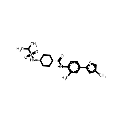 Cc1csc(-c2ccc(NC(=O)[C@H]3CC[C@H](NS(=O)(=O)C(C)C)CC3)c(C)c2)c1